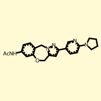 CC(=O)Nc1ccc2c(c1)OCc1cc(-c3ccc(N4CCCC4)nc3)nn1C2